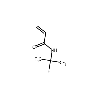 C=CC(=O)NC(F)(C(F)(F)F)C(F)(F)F